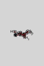 CC(C)(C)OC(=O)CON=C(C(=O)NC1C(=O)N2C(C(=O)O)=C(CSc3nnnn3CCC(=O)O)CS[C@@H]12)c1nsc(N)n1